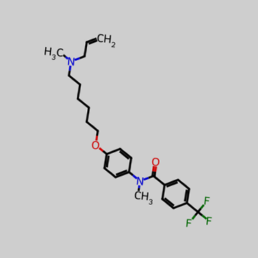 C=CCN(C)CCCCCCOc1ccc(N(C)C(=O)c2ccc(C(F)(F)F)cc2)cc1